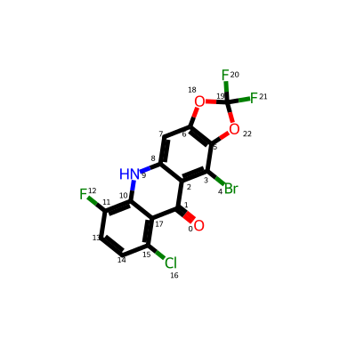 O=c1c2c(Br)c3c(cc2[nH]c2c(F)ccc(Cl)c12)OC(F)(F)O3